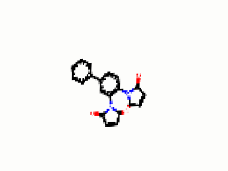 O=C1C=CC(=O)N1c1ccc(-c2ccccc2)cc1N1C(=O)C=CC1=O